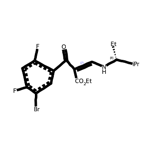 CCOC(=O)/C(=C\N[C@H](CC)C(C)C)C(=O)c1cc(Br)c(F)cc1F